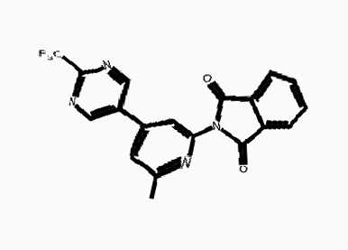 Cc1cc(-c2cnc(C(F)(F)F)nc2)cc(N2C(=O)c3ccccc3C2=O)n1